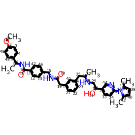 COc1ccc([C@@H](C)NC(=O)c2ccc(CNC(=O)Cc3cccc(CC(C)NC[C@H](O)c4ccc(-n5c(C)ccc5C)nc4)c3)cc2)cc1